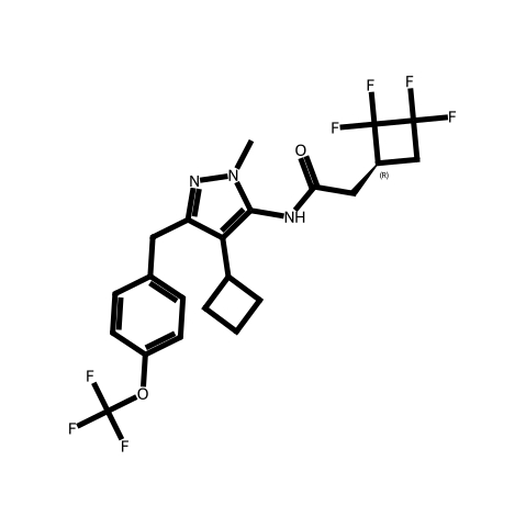 Cn1nc(Cc2ccc(OC(F)(F)F)cc2)c(C2CCC2)c1NC(=O)C[C@@H]1CC(F)(F)C1(F)F